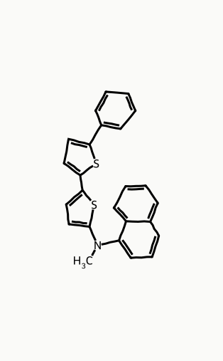 CN(c1ccc(-c2ccc(-c3ccccc3)s2)s1)c1cccc2ccccc12